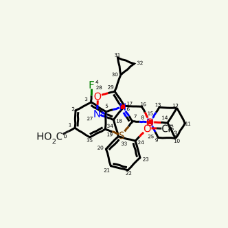 O=C(O)c1cc(F)c2nc(N3CC4CC(C3)C4OCc3c(-c4ccccc4OC(F)(F)F)noc3C3CC3)sc2c1